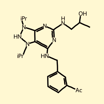 CC(=O)c1cccc(CNc2nc(NCC(C)O)nc3c2N(C(C)C)NN3C(C)C)c1